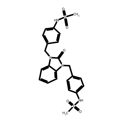 CS(=O)(=O)Nc1ccc(Cn2c(=O)n(Cc3ccc(NS(C)(=O)=O)cc3)c3ccccc32)cc1